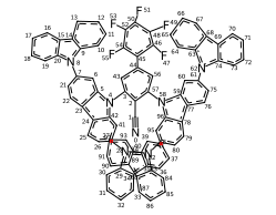 N#Cc1c(-n2c3cc(-n4c5ccccc5c5ccccc54)ccc3c3ccc(-n4c5ccccc5c5ccccc54)cc32)cc(-c2c(F)c(F)c(F)c(F)c2F)cc1-n1c2cc(-n3c4ccccc4c4ccccc43)ccc2c2ccc(-n3c4ccccc4c4ccccc43)cc21